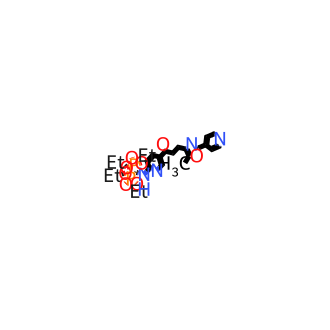 CCOP(=O)(OCC)C(Nc1ccc(C(=O)CCc2nc(-c3ccncc3)oc2C)cn1)P(=O)(OCC)OCC